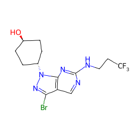 O[C@H]1CC[C@H](n2nc(Br)c3cnc(NCCC(F)(F)F)nc32)CC1